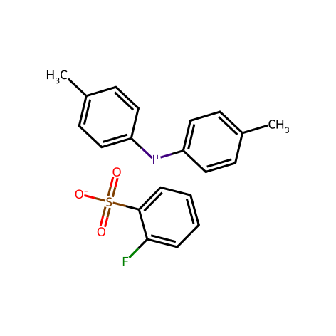 Cc1ccc([I+]c2ccc(C)cc2)cc1.O=S(=O)([O-])c1ccccc1F